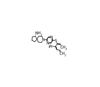 C=C/C=C(\C(=C/C)Sc1cnc(N2CCC3(CCC[C@@H]3N)CC2)cn1)C(C)C